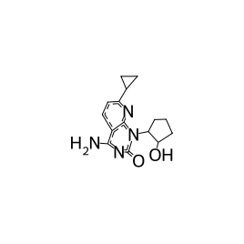 Nc1nc(=O)n(C2CCCC2O)c2nc(C3CC3)ccc12